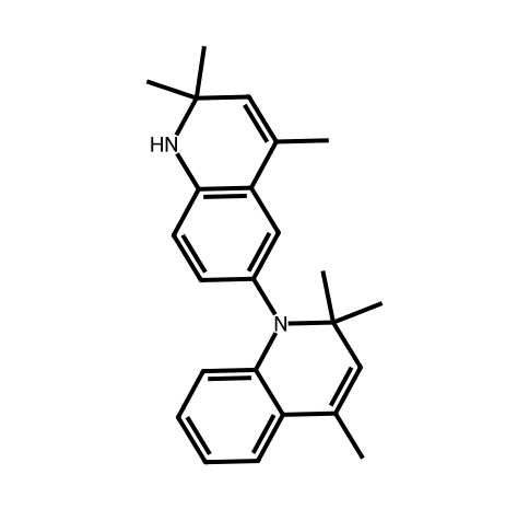 CC1=CC(C)(C)Nc2ccc(N3c4ccccc4C(C)=CC3(C)C)cc21